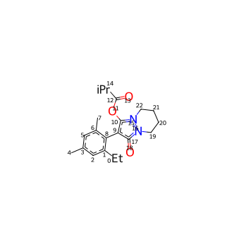 CCc1cc(C)cc(C)c1-c1c(OC(=O)C(C)C)n2n(c1=O)CCCC2